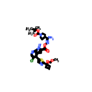 COCOC1(c2ncc(-c3c(Cl)cnc4[nH]c(C(=O)O/N=C(/N)C5CCN(C(=O)OC(C)(C)C)CC5)cc34)s2)CCC1